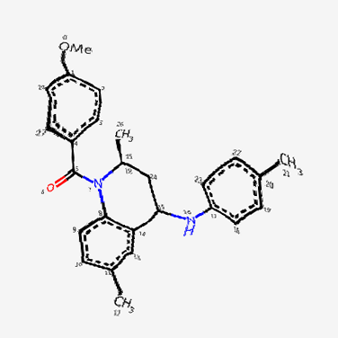 COc1ccc(C(=O)N2c3ccc(C)cc3C(Nc3ccc(C)cc3)C[C@@H]2C)cc1